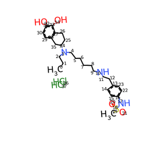 CCCN(CCCCCCNCCc1ccc(NS(C)(=O)=O)cc1)[C@H]1CCc2c(ccc(O)c2O)C1.Cl.Cl